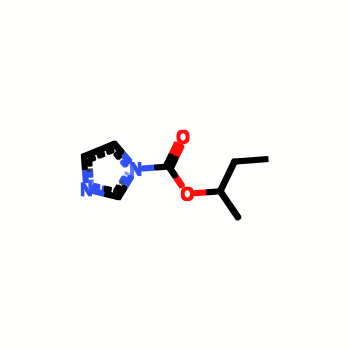 CCC(C)OC(=O)n1ccnc1